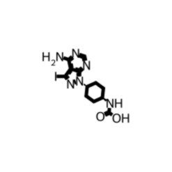 Nc1ncnc2c1c(I)nn2[C@H]1CC[C@H](NC(=O)O)CC1